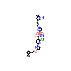 CC1(C)C[C@H](CCCn2ccc(S(=O)(=O)NC(=O)c3ccc(-n4ccc(OCCC5CCC56CC6)n4)nc3Cl)n2)CN1